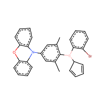 Cc1cc(N2c3ccccc3Oc3ccccc32)cc(C)c1B(c1ccccc1Br)C1C=CC=C1